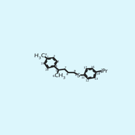 Cc1ccc(C(C)CCCSc2ccc(C(C)C)cc2)cc1